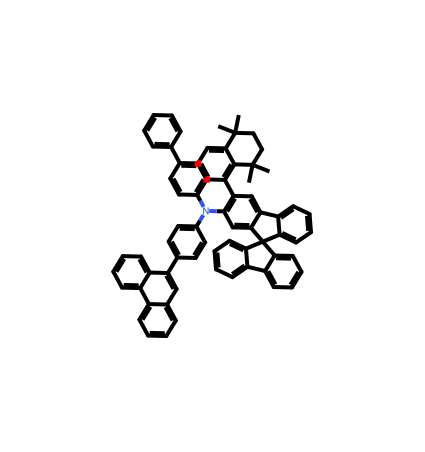 CC1(C)CCC(C)(C)c2c(-c3cc4c(cc3N(c3ccc(-c5ccccc5)cc3)c3ccc(-c5cc6ccccc6c6ccccc56)cc3)C3(c5ccccc5-c5ccccc53)c3ccccc3-4)cccc21